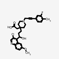 COc1ccc2ncc(Cl)c(C(O)CCC3(CC(=O)O)CCN(CC#Cc4ccc(C)c(F)c4)CC3)c2c1